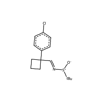 CC(C)(C)[S+]([O-])N=CC1(c2ccc(Cl)cc2)CCC1